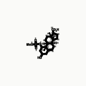 COS(=O)(=O)OC1CC(O)CC2=CC[C@@H]3[C@@H](CC[C@]4(C)C(C(=O)O)CC[C@@H]34)[C@]21C